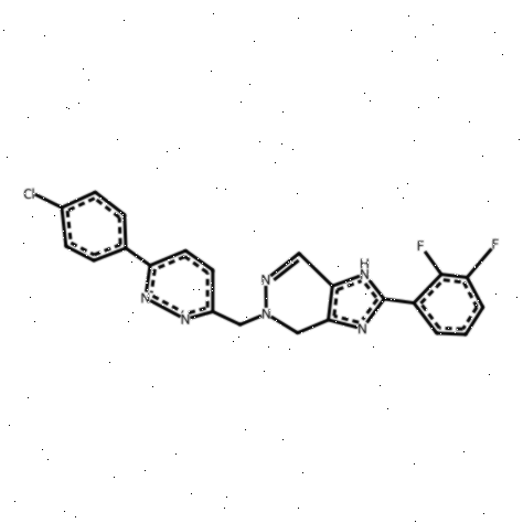 Fc1cccc(-c2nc3c([nH]2)C=NN(Cc2ccc(-c4ccc(Cl)cc4)nn2)C3)c1F